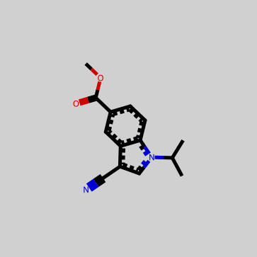 COC(=O)c1ccc2c(c1)c(C#N)cn2C(C)C